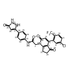 O=C(Cn1c2c(c(-c3cc(Cl)ccc3C(F)(F)F)cc1=O)C(=O)CC2)Nc1ccc(-c2cc(=O)[nH][nH]2)cc1